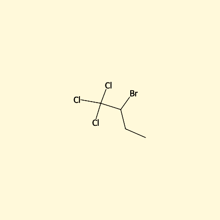 CCC(Br)C(Cl)(Cl)Cl